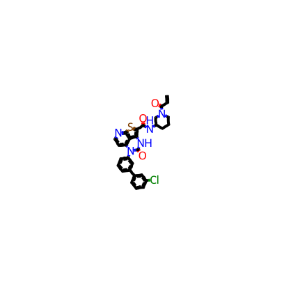 C=CC(=O)N1CCCC(NC(=O)c2sc3nccc4c3c2NC(=O)N4c2cccc(-c3cccc(Cl)c3)c2)C1